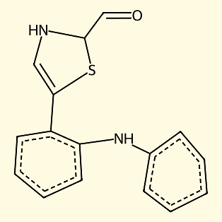 O=CC1NC=C(c2ccccc2Nc2ccccc2)S1